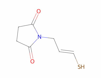 O=C1CCC(=O)N1CC=CS